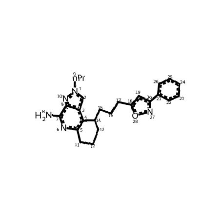 CCCn1cc2c3c(nc(N)c2n1)CCCC3CCCc1cc(-c2ccccc2)no1